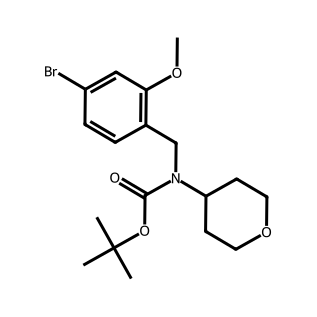 COc1cc(Br)ccc1CN(C(=O)OC(C)(C)C)C1CCOCC1